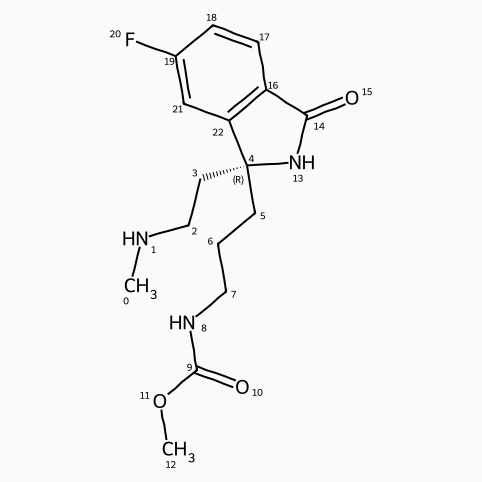 CNCC[C@@]1(CCCNC(=O)OC)NC(=O)c2ccc(F)cc21